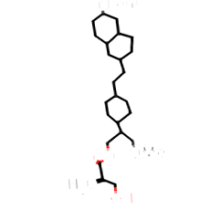 C=C(CO)C(=O)OCC(COC)C1CCC(CCC2CCC3CC(CCCCC)CCC3C2)CC1